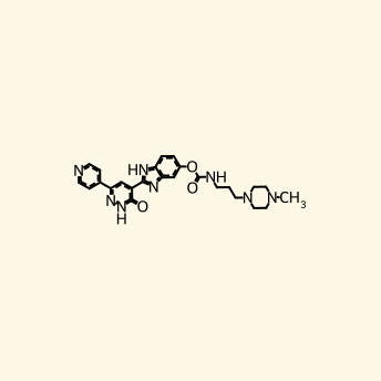 CN1CCN(CCCNC(=O)Oc2ccc3[nH]c(-c4cc(-c5ccncc5)n[nH]c4=O)nc3c2)CC1